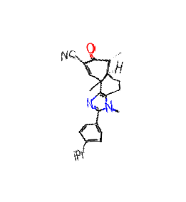 CC(C)c1ccc(-c2nc3c(n2C)CC[C@@H]2[C@@H](C)C(=O)C(C#N)=CC32C)cc1